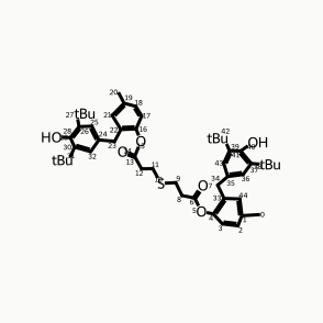 Cc1ccc(OC(=O)CCSCCC(=O)Oc2ccc(C)cc2Cc2cc(C(C)(C)C)c(O)c(C(C)(C)C)c2)c(Cc2cc(C(C)(C)C)c(O)c(C(C)(C)C)c2)c1